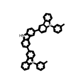 Cc1cccc(N2c3ccccc3C3C=C(c4ccc5[nH]c6ccc(-c7ccc8c(c7)c7ccccc7n8-c7cccc(C)c7)cc6c5c4)C=CC32)c1